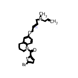 C=CCN(C)C/C=C/COc1ccc2c(c1)CCCN2C(=O)c1ccc(Br)s1